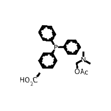 CC(=O)O.CC(=O)OCN(C)C.c1ccc(P(c2ccccc2)c2ccccc2)cc1